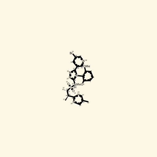 COc1cccc(OC)c1-n1c(NS(=O)(=O)[C@@H](C)[C@H](C)c2ncc(C)cn2)nnc1-c1cncc(Br)c1